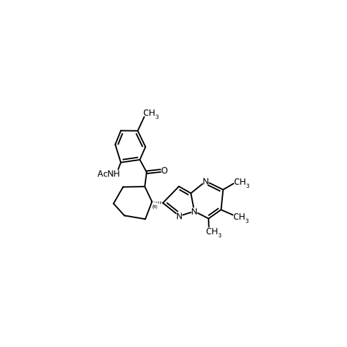 CC(=O)Nc1ccc(C)cc1C(=O)C1CCCC[C@H]1c1cc2nc(C)c(C)c(C)n2n1